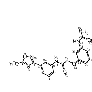 Cc1nc(-c2cccc(NC(=O)COc3cccc(NC(N)=O)c3)c2)no1